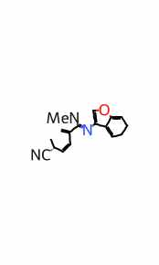 C=C(/C=C\[C@@H](C)C#N)/C(=N/c1coc2c1=CCCC=2)NC